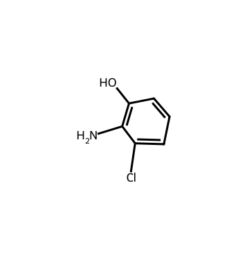 Nc1c(O)cccc1Cl